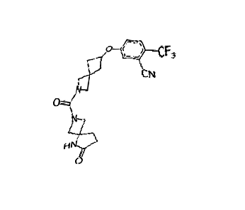 N#Cc1cc(OC2CC3(C2)CN(C(=O)N2CC4(CCC(=O)N4)C2)C3)ccc1C(F)(F)F